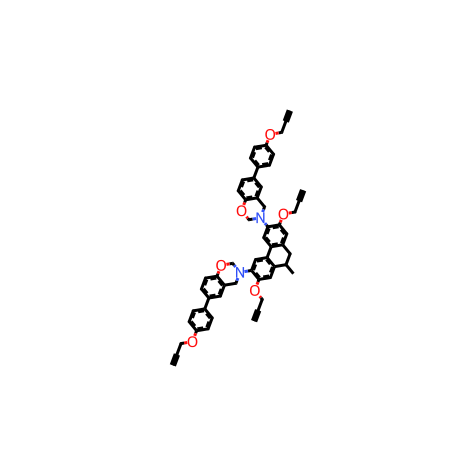 C#CCOc1ccc(-c2ccc3c(c2)CN(c2cc4c(cc2OCC#C)CC(C)c2cc(OCC#C)c(N5COc6ccc(-c7ccc(OCC#C)cc7)cc6C5)cc2-4)CO3)cc1